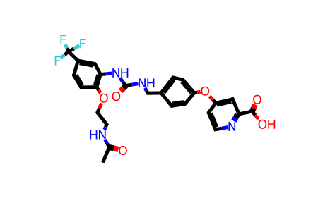 CC(=O)NCCOc1ccc(C(F)(F)F)cc1NC(=O)NCc1ccc(Oc2ccnc(C(=O)O)c2)cc1